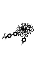 [2H]C([2H])(c1ccc(-c2ccc(C(F)(F)F)cc2)cc1)N(C(=O)C([2H])([2H])n1c(SCc2ccc(F)cc2)nc(=O)c2c1C([2H])([2H])C([2H])(C)C2([2H])[2H])C([2H])([2H])C([2H])([2H])N(CC)CC